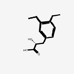 CCc1ccc(C[C@@H](O)C(=O)O)cc1CC